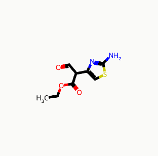 CCOC(=O)C(C=O)c1csc(N)n1